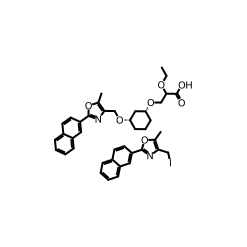 CCOC(CO[C@@H]1CCC[C@H](OCc2nc(-c3ccc4ccccc4c3)oc2C)C1)C(=O)O.Cc1oc(-c2ccc3ccccc3c2)nc1CI